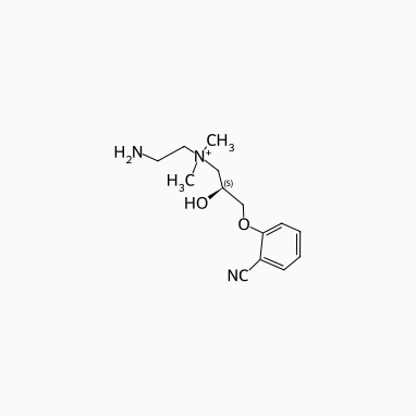 C[N+](C)(CCN)C[C@H](O)COc1ccccc1C#N